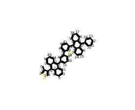 Cc1cscc1-c1c2ccccc2c(-c2ccc3sc4c(-c5c6ccccc6c(-c6ccccc6)c6ccccc56)cccc4c3c2)c2ccccc12